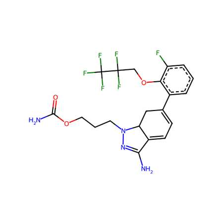 NC(=O)OCCCN1N=C(N)C2=CC=C(c3cccc(F)c3OCC(F)(F)C(F)(F)F)CC21